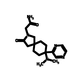 CN(C)C1(c2cnccn2)CCC2(CC1)CC(=O)N(CC(N)=O)C2